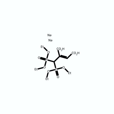 CCOP(=O)(OCC)C(C(=CC(=O)O)C(=O)O)P(=O)(OCC)OCC.[Na].[Na]